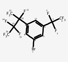 FC(F)(F)C(F)(F)c1[c]c(Br)cc(C(F)(C(F)(F)F)C(F)(F)C(F)(F)F)c1